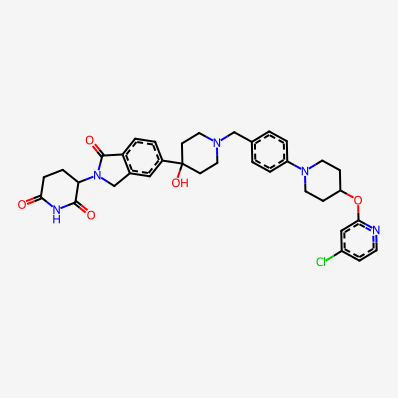 O=C1CCC(N2Cc3cc(C4(O)CCN(Cc5ccc(N6CCC(Oc7cc(Cl)ccn7)CC6)cc5)CC4)ccc3C2=O)C(=O)N1